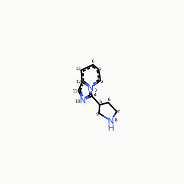 c1ccn2c(C3CCNC3)ncc2c1